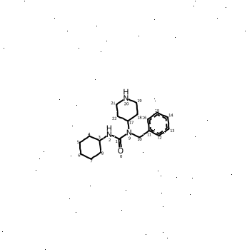 O=C(NC1CCCCC1)N(Cc1ccccc1)C1CCNCC1